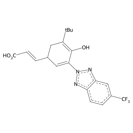 CC(C)(C)C1=C(O)C(n2nc3ccc(C(F)(F)F)cc3n2)=CC(C=CC(=O)O)C1